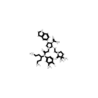 CCCC(CCC)N(C(=O)CN1C[C@H](c2ccc3c(c2)CCO3)[C@@H](C(=O)O)[C@@H]1CCN1CCC(C)(C)C1=O)c1ccc(F)c(C)c1